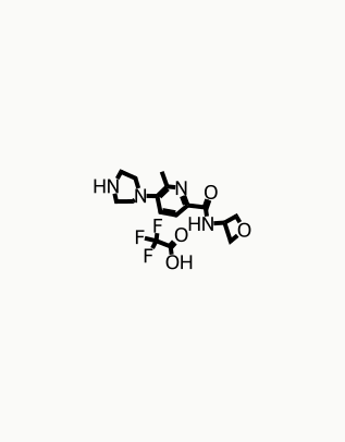 Cc1nc(C(=O)NC2COC2)ccc1N1CCNCC1.O=C(O)C(F)(F)F